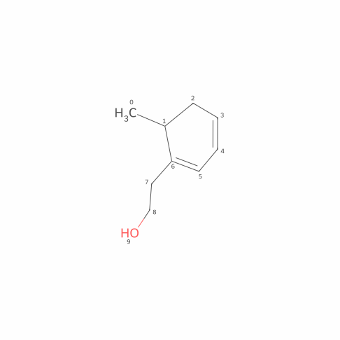 CC1CC=CC=C1CCO